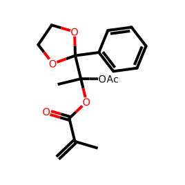 C=C(C)C(=O)OC(C)(OC(C)=O)C1(c2ccccc2)OCCO1